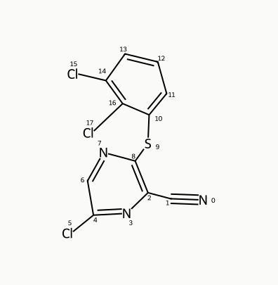 N#Cc1nc(Cl)cnc1Sc1cccc(Cl)c1Cl